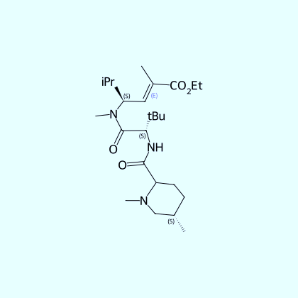 CCOC(=O)/C(C)=C/[C@H](C(C)C)N(C)C(=O)[C@@H](NC(=O)C1CC[C@H](C)CN1C)C(C)(C)C